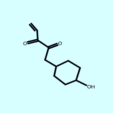 C=CC(=O)C(=O)CC1CCC(O)CC1